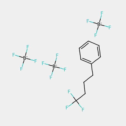 FC(F)(F)CCCc1ccccc1.F[B-](F)(F)F.F[B-](F)(F)F.F[B-](F)(F)F